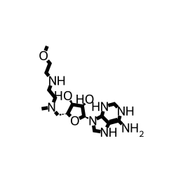 COCCNCCN(C)C[C@H]1O[C@@H](N2CNC3=C(N)NCNC32)[C@H](O)[C@@H]1O